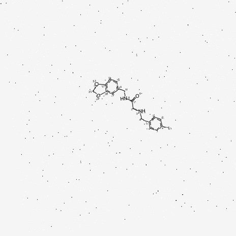 O=C(CNCc1ccc(I)cc1)NCc1ccc2c(c1)OCO2